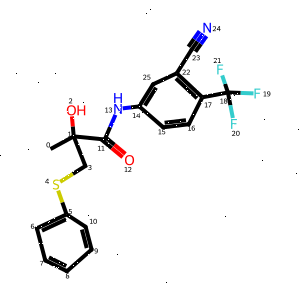 CC(O)(CSc1ccccc1)C(=O)Nc1ccc(C(F)(F)F)c(C#N)c1